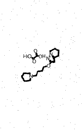 O=C(O)C(=O)O.c1c(OCCCCN2CCCCC2)nn2c1CCCC2